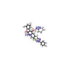 Cc1ccc(-c2noc(Cc3cc4c(OCCC5CCCCN5)c(-c5cc(C)cc(C)c5)c(=O)[nH]c4cc3Cl)n2)cc1